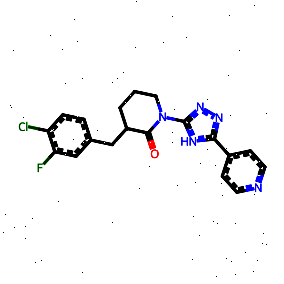 O=C1C(Cc2ccc(Cl)c(F)c2)CCCN1c1nnc(-c2ccncc2)[nH]1